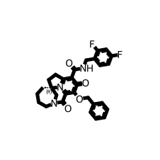 O=C(NCc1ccc(F)cc1F)c1c2n3c(c(OCc4ccccc4)c1=O)C(=O)N1CCCC[C@@]3(CC2)C1